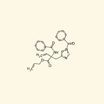 C=CCOC(=O)C(C=C)(Cc1cn(C(=O)c2ccccc2)cn1)NC(=O)c1ccccc1